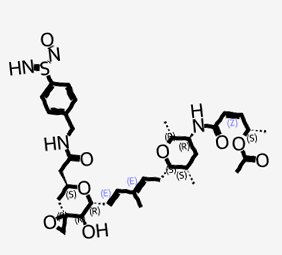 CC(=O)O[C@@H](C)/C=C\C(=O)N[C@@H]1C[C@H](C)[C@H](C/C=C(C)/C=C/[C@H]2O[C@H](CC(=O)NCc3ccc(S(=N)N=O)cc3)C[C@@]3(CO3)[C@@H]2O)O[C@@H]1C